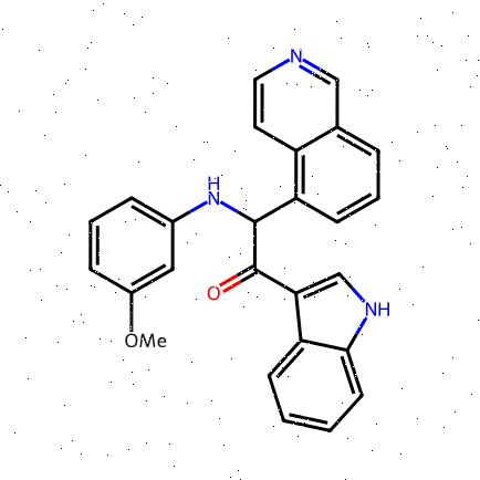 COc1cccc(NC(C(=O)c2c[nH]c3ccccc23)c2cccc3cnccc23)c1